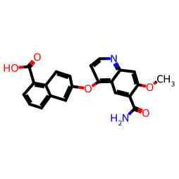 COc1cc2nccc(Oc3ccc4c(C(=O)O)cccc4c3)c2cc1C(N)=O